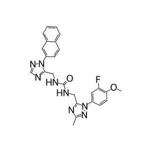 COc1ccc(-n2nc(C)nc2CNC(=O)NCc2ncnn2-c2ccc3ccccc3c2)cc1F